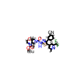 Cc1cc(-c2sc(NC(=O)N3C[C@@H]4OCCN(C(=O)OC(C)(C)C)[C@H]4C3)nc2-c2cccc(C#N)c2)cc(C(F)F)n1